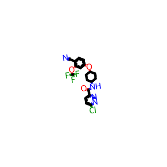 N#Cc1ccc(OC2CCC(NC(=O)c3ccc(Cl)nn3)CC2)cc1OC(F)(F)F